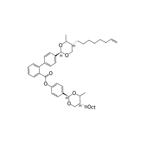 C=CCCCCCC[C@@H]1CO[C@@H](c2ccc(-c3ccccc3C(=O)Oc3ccc([C@@H]4OC[C@@H](CCCCCCCC)C(C)O4)cc3)cc2)OC1C